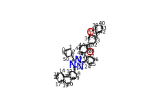 c1ccc(-c2nc(-c3ccc4c(c3)-c3ccccc3CC4)nc(-c3cccc4oc5c(-c6ccc7c(c6)oc6ccccc67)cccc5c34)n2)cc1